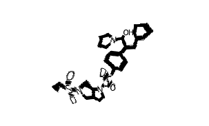 C=CS(=O)(=O)N1CC2CCN(S(=O)(=O)c3ccc(C(Cc4ccccc4)C(O)N4CCCC4)cc3)C2C1